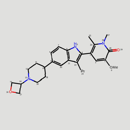 COc1cc(-c2[nH]c3ccc(C4CCN(C5COC5)CC4)cc3c2C(C)C)c(C)n(C)c1=O